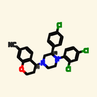 N#Cc1ccc2c(c1)OCC[C@H]2N1CCN(c2ccc(Cl)cc2Cl)[C@H](c2ccc(Cl)cc2)C1